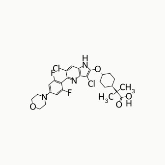 CC(C)(C(=O)O)[C@H]1CC[C@H](Oc2[nH]c3cc(Cl)c(-c4c(F)cc(N5CCOCC5)cc4F)nc3c2Cl)CC1